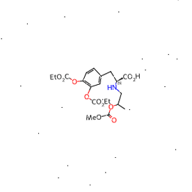 CCOC(=O)Oc1ccc(C[C@H](NCC(C)OC(=O)OC)C(=O)O)cc1OC(=O)OCC